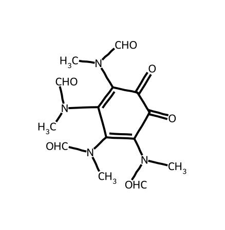 CN(C=O)C1=C(N(C)C=O)C(N(C)C=O)=C(N(C)C=O)C(=O)C1=O